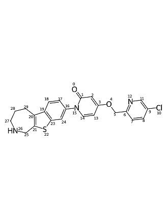 O=c1cc(OCc2ccc(Cl)cn2)ccn1-c1ccc2c3c(sc2c1)CNCCC3